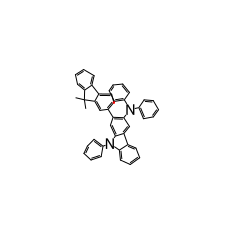 CC1(C)c2ccccc2-c2ccc(-c3cc4c(cc3N(c3ccccc3)c3ccccc3)c3ccccc3n4-c3ccccc3)cc21